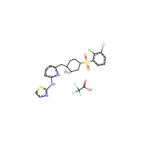 O=C(O)C(F)(F)F.O=C(O)[C@]1(Cc2cccc(Nc3nccs3)n2)CC[C@@H](S(=O)(=O)c2cccc(Cl)c2Cl)CC1